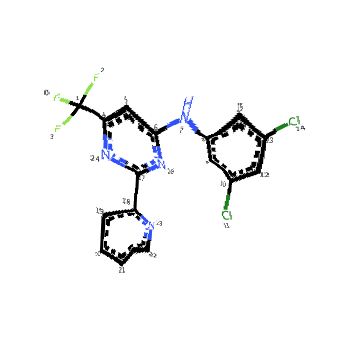 FC(F)(F)c1cc(Nc2cc(Cl)cc(Cl)c2)nc(-c2ccccn2)n1